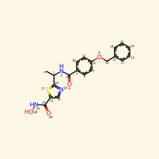 CC(NC(=O)c1ccc(OCc2ccccc2)cc1)c1ncc(C(=O)NO)s1